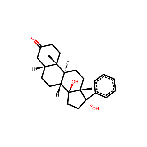 C[C@]12CCC(=O)C[C@H]1CC[C@@H]1[C@@H]2CC[C@]2(C)[C@@](O)(c3ccccc3)CC[C@]12O